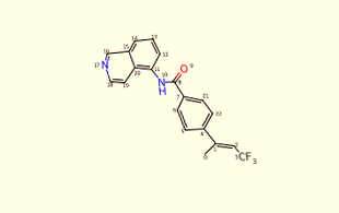 CC(=CC(F)(F)F)c1ccc(C(=O)Nc2cccc3cnccc23)cc1